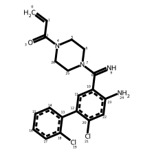 C=CC(=O)N1CCN(C(=N)c2cc(-c3ccccc3Cl)c(Cl)cc2N)CC1